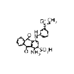 C=C[S+]([O-])c1cccc(Nc2cc(S(=O)(=O)O)c(N)c3c2C(=O)c2ccccc2C3=O)c1